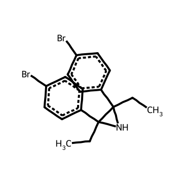 CCC1(c2ccc(Br)cc2)NC1(CC)c1ccc(Br)cc1